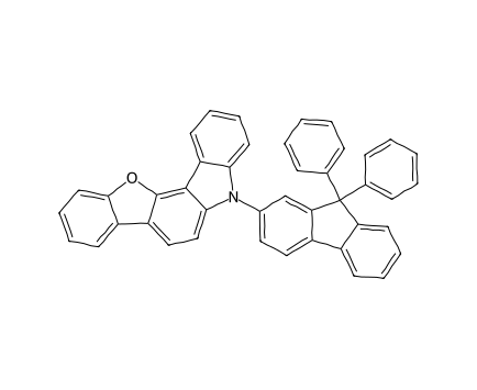 c1ccc(C2(c3ccccc3)c3ccccc3-c3ccc(-n4c5ccccc5c5c6oc7ccccc7c6ccc54)cc32)cc1